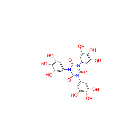 O=c1n(-c2cc(O)c(O)c(O)c2)c(=O)n(-c2cc(O)c(O)c(O)c2)c(=O)n1-c1cc(O)c(O)c(O)c1